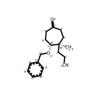 C[C@@]1(CCC#N)CCC(=O)CC[C@H]1OCc1ccccc1